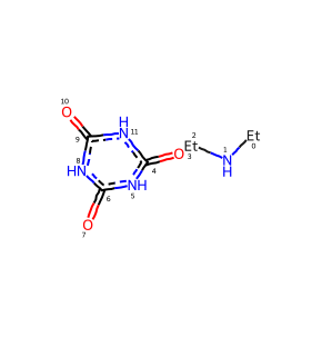 CCNCC.O=c1[nH]c(=O)[nH]c(=O)[nH]1